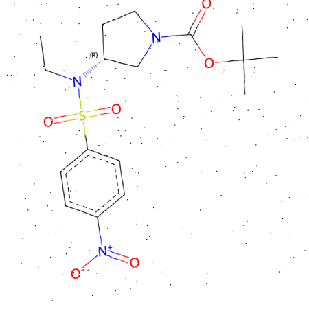 CCN([C@@H]1CCN(C(=O)OC(C)(C)C)C1)S(=O)(=O)c1ccc([N+](=O)[O-])cc1